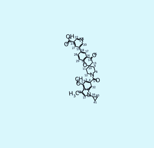 COc1cc(C(=O)N2CCC3(CC2)CC(=O)c2cc(-c4cncc(C(=O)O)c4)ccc2O3)cc2c1c(C)cn2C1CC1